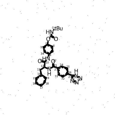 CC(C)(C)NC(=O)Oc1ccc(NC(=O)C(Cc2ccccc2)NC(=O)c2ccc(-c3nnn[nH]3)cc2)cc1